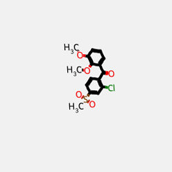 COc1cccc(C(=O)c2ccc(S(C)(=O)=O)cc2Cl)c1OC